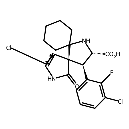 O=C(O)[C@H]1NC2(CCCCC2)[C@]2(C(=O)Nc3cc(Cl)ccc32)[C@@H]1c1cccc(Cl)c1F